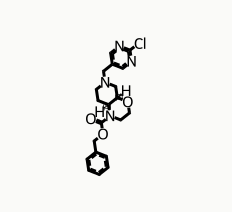 O=C(OCc1ccccc1)N1CCO[C@H]2CN(Cc3cnc(Cl)nc3)CC[C@@H]21